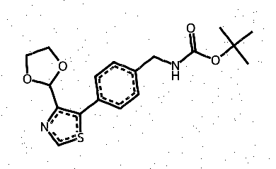 CC(C)(C)OC(=O)NCc1ccc(-c2scnc2C2OCCO2)cc1